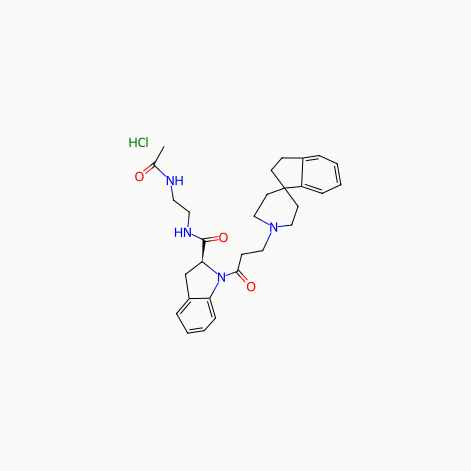 CC(=O)NCCNC(=O)[C@@H]1Cc2ccccc2N1C(=O)CCN1CCC2(CCc3ccccc32)CC1.Cl